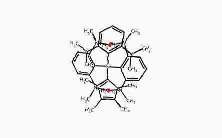 CC1=C(C)C(C)C([Si](c2c(N(C)C)cccc2N(C)C)(c2c(N(C)C)cccc2N(C)C)c2c(N(C)C)cccc2N(C)C)=C1C